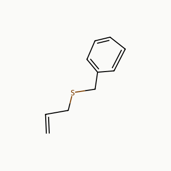 C=CCSCc1ccccc1